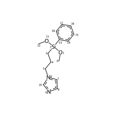 CO[Si](CCCn1ccnc1)(OC)c1ccccc1